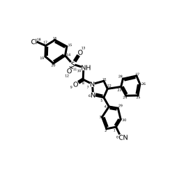 N#Cc1ccc(C2=NN(C(=O)NS(=O)(=O)c3ccc(Cl)cc3)CC2c2ccccc2)cc1